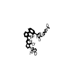 COc1nc(-c2cccc(-c3cccc(-c4cc5c(c(OC)n4)C(N4CC6(CCC(=O)N6)C4)CC5)c3F)c2F)cnc1CN1CC2(C1)CN(C(C)=O)C2